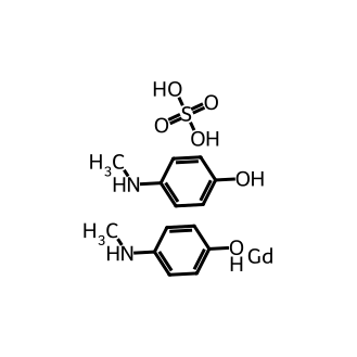 CNc1ccc(O)cc1.CNc1ccc(O)cc1.O=S(=O)(O)O.[Gd]